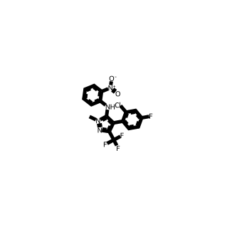 Cn1nc(C(F)(F)F)c(-c2ccc(F)cc2Cl)c1Nc1ccccc1[N+](=O)[O-]